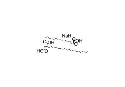 CCCCCCCCCCCCCCCCCC/C(=C\C(=O)O)C(=O)O.CCCCCCCCCCCCOS(=O)(=O)O.[NaH]